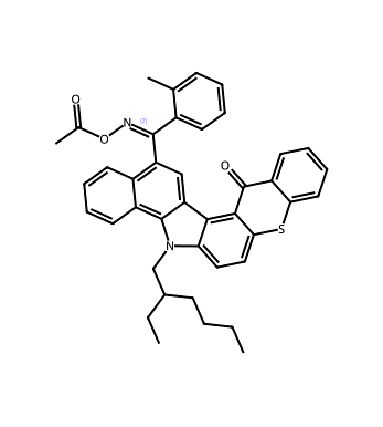 CCCCC(CC)Cn1c2ccc3sc4ccccc4c(=O)c3c2c2cc(/C(=N\OC(C)=O)c3ccccc3C)c3ccccc3c21